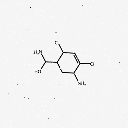 NC1CC(C(N)O)C(Cl)C=C1Cl